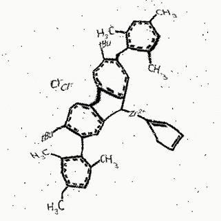 Cc1cc(C)c(-c2cc3c(cc2C(C)(C)C)-c2cc(C(C)(C)C)c(-c4c(C)cc(C)cc4C)cc2[CH]3[Zr+2][C]2=CC=CC2)c(C)c1.[Cl-].[Cl-]